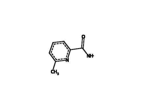 Cc1cccc(C([NH])=O)n1